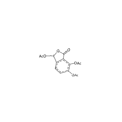 CC(=O)Oc1ccc2c(c1OC(C)=O)C(=O)OI2OC(C)=O